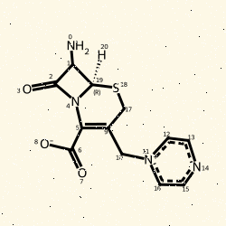 NC1C(=O)N2C(C(=O)[O-])=C(C[n+]3ccncc3)CS[C@H]12